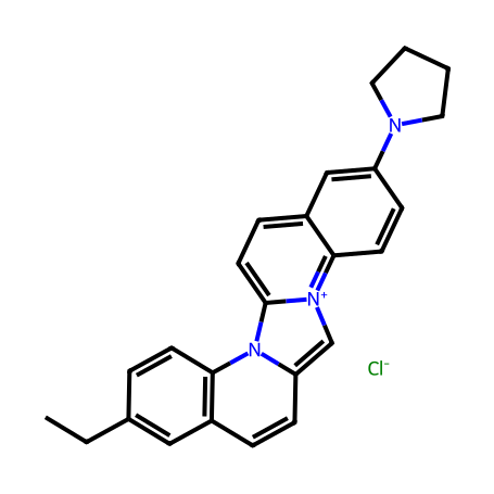 CCc1ccc2c(ccc3c[n+]4c5ccc(N6CCCC6)cc5ccc4n32)c1.[Cl-]